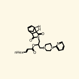 CCCCCC/C=C/C(=O)OC(CN1CCN(c2ccccn2)CC1)CN1C(=O)C2C3C=C[C@@H](C3)[C@@H]2C1=O